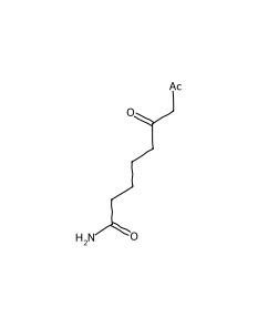 CC(=O)CC(=O)CCCCC(N)=O